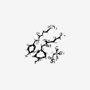 CCCCC(=O)NCc1ccc(F)cc1.CCCCC(=O)NCc1ccc(F)cc1.O=S(=O)(O)CS(=O)(=O)O